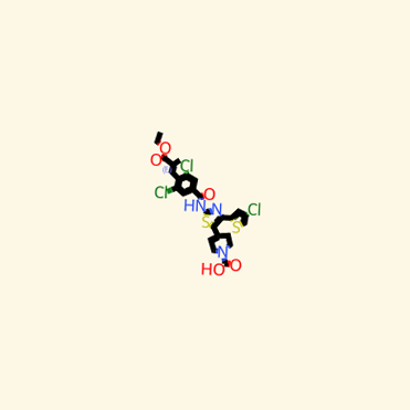 CCOC(=O)/C(C)=C/c1c(Cl)cc(C(=O)Nc2nc(-c3cc(Cl)cs3)c(C3=CCN(C(=O)O)CC3)s2)cc1Cl